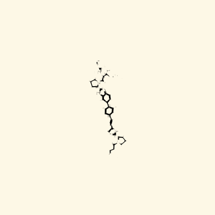 CCCC(=O)N1CCC[C@H]1c1ncc(C#Cc2ccc(-c3ccc4nc([C@@H]5CCCN5C(=O)[C@@H](NC(=O)OC)[C@@H](C)OC)[nH]c4c3)cc2)[nH]1